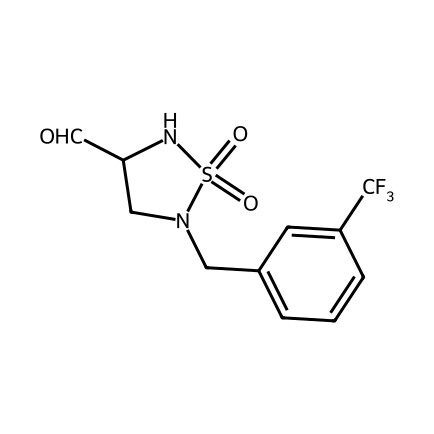 O=CC1CN(Cc2cccc(C(F)(F)F)c2)S(=O)(=O)N1